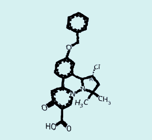 CC1(C)C[C@@H](Cl)C2c3cc(OCc4ccccc4)ccc3-c3cc(=O)c(C(=O)O)cn3N21